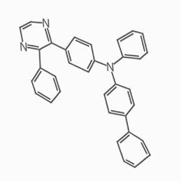 c1ccc(-c2ccc(N(c3ccccc3)c3ccc(-c4nccnc4-c4ccccc4)cc3)cc2)cc1